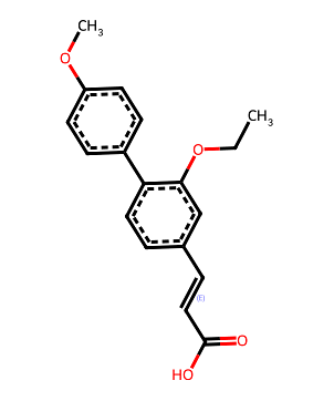 CCOc1cc(/C=C/C(=O)O)ccc1-c1ccc(OC)cc1